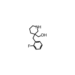 OCC1(Cc2ccccc2F)CCCNC1